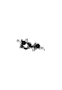 Cc1cc2cc(c1)S(=O)(=O)NCCCNc1nc(ncc1CCNS(=O)(=O)c1cc(C)ccc1F)N2